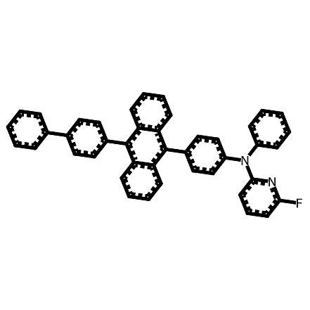 Fc1cccc(N(c2ccccc2)c2ccc(-c3c4ccccc4c(-c4ccc(-c5ccccc5)cc4)c4ccccc34)cc2)n1